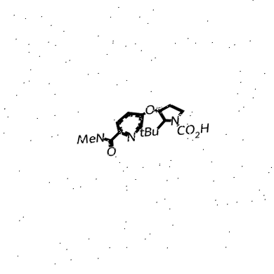 CNC(=O)c1ccc(O[C@H]2CCN(C(=O)O)C2C(C)(C)C)cn1